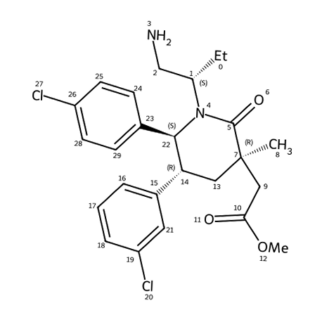 CC[C@@H](CN)N1C(=O)[C@@](C)(CC(=O)OC)C[C@H](c2cccc(Cl)c2)[C@H]1c1ccc(Cl)cc1